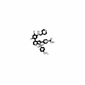 Cc1ccc(S(=O)(=O)n2c(C3=CCN(C(=O)O)CC3)cc3c(-c4cc(NCC5CCOCC5)c(F)cc4F)ccnc32)cc1